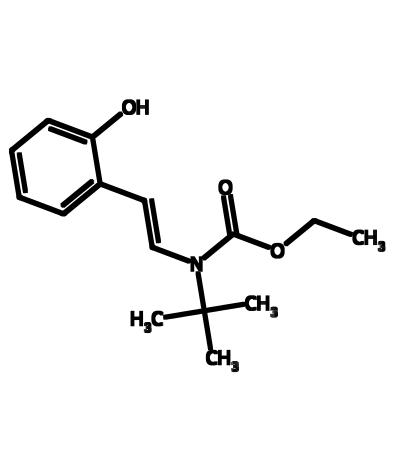 CCOC(=O)N(C=Cc1ccccc1O)C(C)(C)C